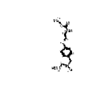 CC(=O)N(CC(=O)O)Cc1ccc(OCCNC(=O)OC(C)(C)C)cc1